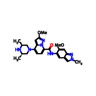 COc1cc2c(N3C[C@H](C)N[C@@H](C)C3)ccc(C(=O)Nc3cc4cn(C)nc4cc3OC)n2n1